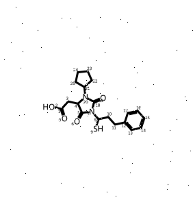 O=C(O)CC1C(=O)N(C(S)CCc2ccccc2)C(=O)N1C1CCCC1